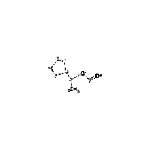 CC(O[C]=O)C1CCCC1